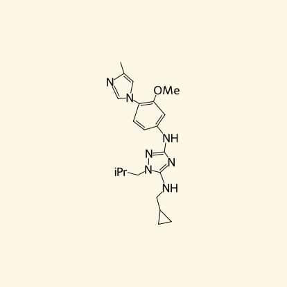 COc1cc(Nc2nc(NCC3CC3)n(CC(C)C)n2)ccc1-n1cnc(C)c1